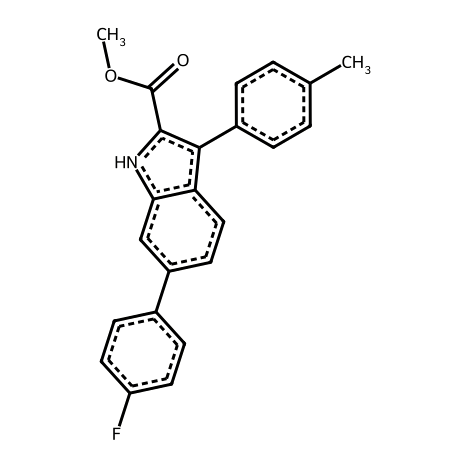 COC(=O)c1[nH]c2cc(-c3ccc(F)cc3)ccc2c1-c1ccc(C)cc1